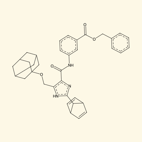 O=C(OCc1ccccc1)c1cccc(NC(=O)c2nc(C3C4C=CC3C=C4)[nH]c2COC23CC4CC(CC(C4)C2)C3)c1